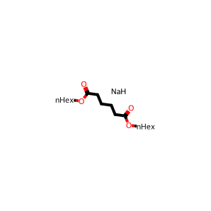 CCCCCCOC(=O)CCCCC(=O)OCCCCCC.[NaH]